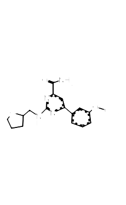 COc1cccc(-c2cc(C(N)=O)nc(NCC3CCCO3)n2)c1